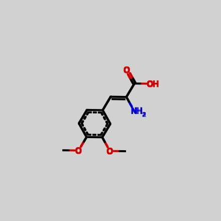 COc1ccc(/C=C(\N)C(=O)O)cc1OC